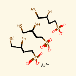 O=S(=O)([O-])CCC(S)CS.O=S(=O)([O-])CCC(S)CS.O=S(=O)([O-])CCC(S)CS.[Au+3]